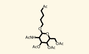 CC(=O)CCCCOC1OC(COC(C)=O)C(OC(C)=O)C(OC(C)=O)C1NC(C)=O